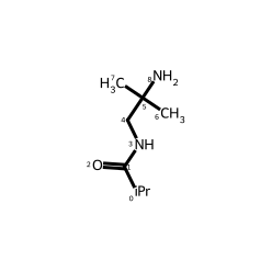 CC(C)C(=O)NCC(C)(C)N